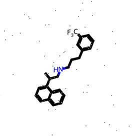 CC(CNCCCc1cccc(C(F)(F)F)c1)c1cccc2ccccc12